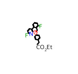 CCOC(=O)CCc1ccc(OCc2c(F)cccc2-c2ccc(F)nc2)cc1